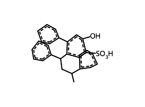 CC(CC(c1ccccc1)c1cc(S(=O)(=O)O)c(O)cc1-c1ccccc1)c1ccccc1